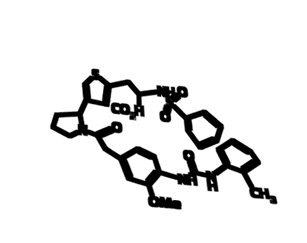 COc1cc(CC(=O)N2CCCC2c2csc(CC(NS(=O)(=O)c3ccccc3)C(=O)O)c2)ccc1NC(=O)Nc1ccccc1C